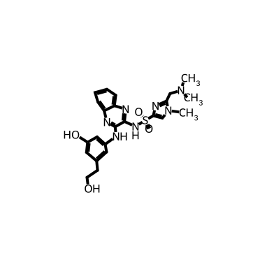 CN(C)Cc1nc(S(=O)(=O)Nc2nc3ccccc3nc2Nc2cc(O)cc(CCO)c2)cn1C